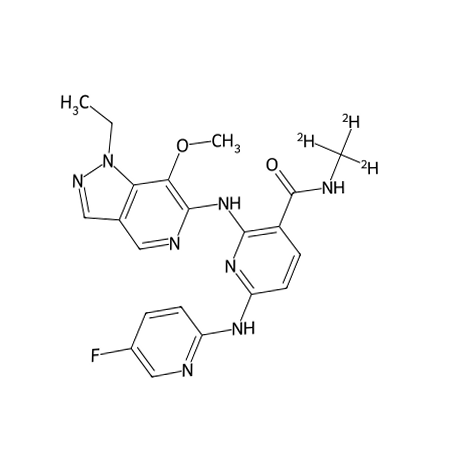 [2H]C([2H])([2H])NC(=O)c1ccc(Nc2ccc(F)cn2)nc1Nc1ncc2cnn(CC)c2c1OC